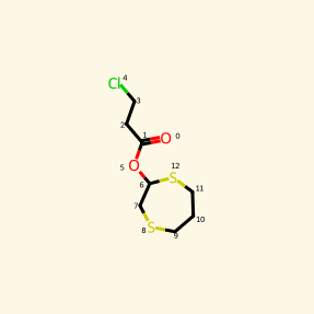 O=C(CCCl)OC1CSCCCS1